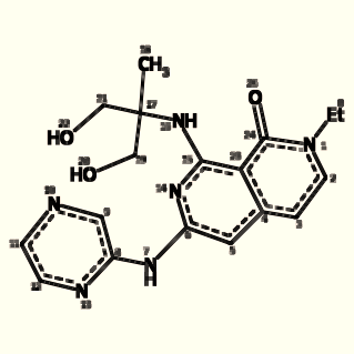 CCn1ccc2cc(Nc3cnccn3)nc(NC(C)(CO)CO)c2c1=O